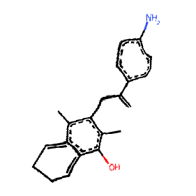 C=C(Cc1c(C)c(O)c2c(c1C)=CCCC=2)c1ccc(N)cc1